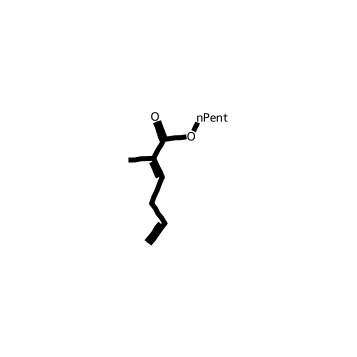 C=CCC=C(C)C(=O)OCCCCC